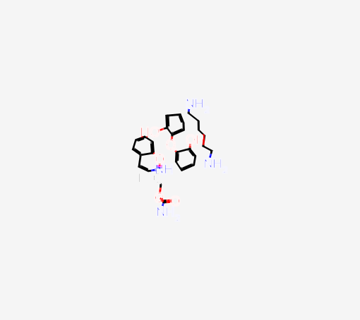 C1=Cc2ccccc2ON1.CCOC(N)=O.NCCCCCCN.Oc1ccccc1Oc1ccccc1O